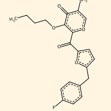 Bc1coc(C(=O)c2ccc(Cc3ccc(F)cc3)o2)c(OCCCC)c1=O